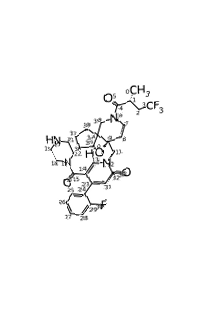 C[C@H](CC(F)(F)F)C(=O)N1CC[C@](O)(Cn2cc(C(=O)N3CCNCC3)c(-c3ccccc3F)cc2=O)C2(CCCC2)C1